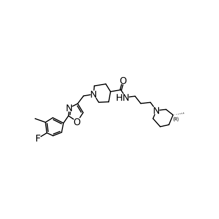 Cc1cc(-c2nc(CN3CCC(C(=O)NCCCN4CCC[C@@H](C)C4)CC3)co2)ccc1F